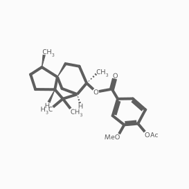 COc1cc(C(=O)O[C@]2(C)CC[C@@]34C[C@@H]2C(C)(C)[C@@H]3CC[C@H]4C)ccc1OC(C)=O